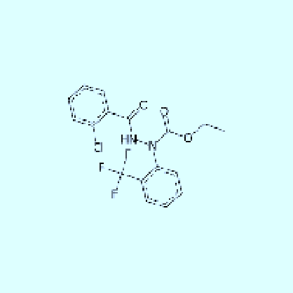 CCOC(=O)N(NC(=O)c1ccccc1Cl)c1ccccc1C(F)(F)F